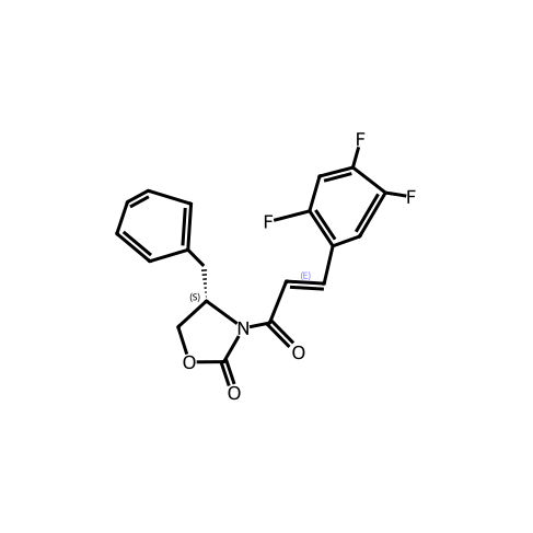 O=C(/C=C/c1cc(F)c(F)cc1F)N1C(=O)OC[C@@H]1Cc1ccccc1